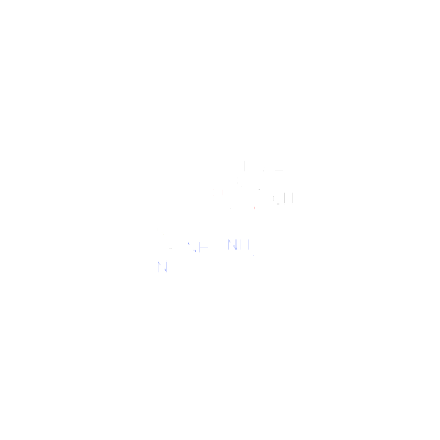 CC(C)(C)OC(=O)C(N)CNC(N)=S